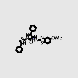 COc1ccc2sc(N/N=C3\C(=O)N(c4nc(-c5ccccc5)cs4)N=C3c3ccccc3)nc2c1